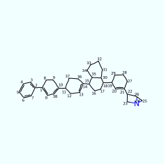 C1=C(c2ccccc2)CCC(C2CC=C(C3CCC(C4C=C(C5CN6CC56)CCC4)C4CCCCC34)CC2)=C1